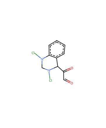 O=CC(=O)C1c2ccccc2N(Cl)CN1Cl